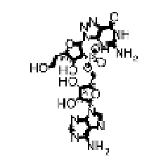 Nc1nc2c(nnn2[C@@H]2O[C@H](CCO)[C@@H](O)[C@H]2P(=O)(O)OC[C@H]2O[C@@H](n3cnc4c(N)ncnc43)[C@H](O)[C@@H]2O)c(=O)[nH]1